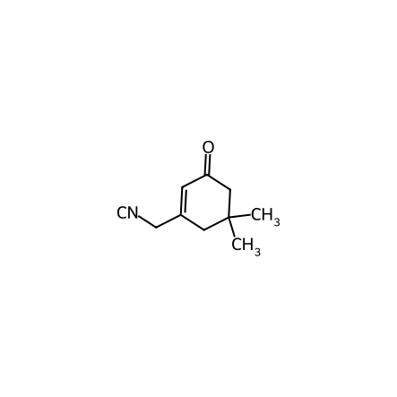 [C-]#[N+]CC1=CC(=O)CC(C)(C)C1